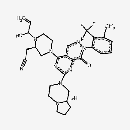 C=CC(O)N1CCN(c2nc(N3CCN4CCC[C@@H]4C3)nc3c(=O)n(-c4cccc(C)c4C(F)(F)F)ncc23)C[C@H]1CC#N